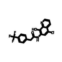 O=C(Cc1ccc(C(F)(F)F)cc1)Nc1cc(Cl)c2cccnc2c1O